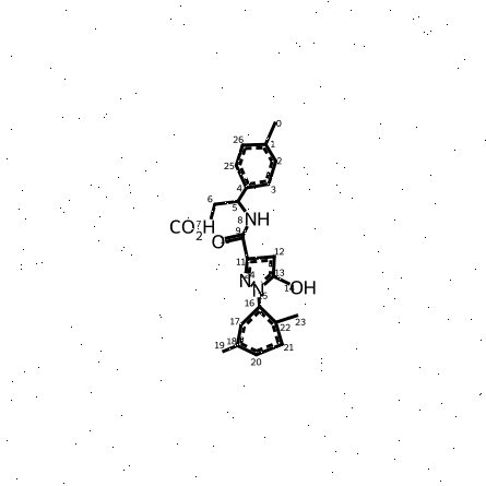 Cc1ccc(C(CC(=O)O)NC(=O)c2cc(O)n(-c3cc(C)ccc3C)n2)cc1